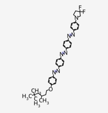 CC(CCOc1ccc(/N=N/c2ccc(/N=N/c3ccc(/N=N/c4ccc(N5CCC(F)(F)C5)cc4)cc3)cc2)cc1)CC(C)(C)C